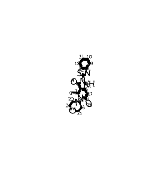 Cc1c2c(=O)n(-c3nc4ccccc4s3)[nH]c2cc(=O)n1N1CCOCC1